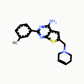 N#Cc1cccc(-c2nc(N)c3cc(CN4CC=CCC4)sc3n2)c1